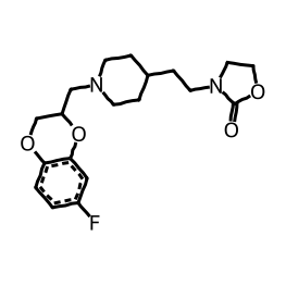 O=C1OCCN1CCC1CCN(CC2COc3ccc(F)cc3O2)CC1